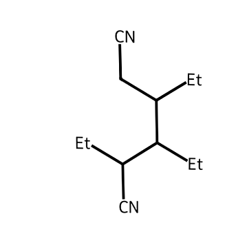 CCC(C#N)C(CC)C(CC)CC#N